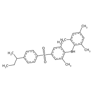 CCC(C)c1ccc(S(=O)(=O)c2cc(C)c(Bc3c(C)cc(C)cc3C)c(C)c2)cc1